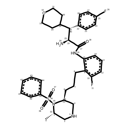 C[C@H]1CNC[C@H](CCCc2c(F)cccc2NC(=O)[C@@H](N)[C@@H](c2ccc(F)cc2)C2CCOCC2)N1S(=O)(=O)c1ccccc1